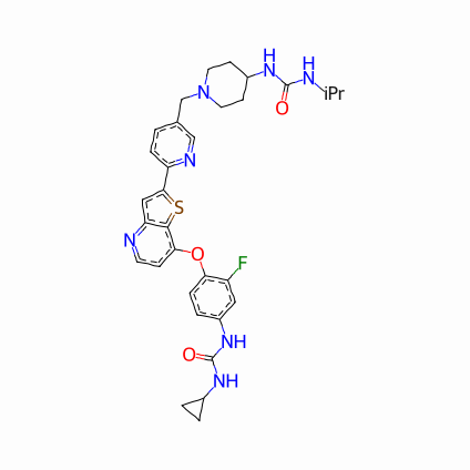 CC(C)NC(=O)NC1CCN(Cc2ccc(-c3cc4nccc(Oc5ccc(NC(=O)NC6CC6)cc5F)c4s3)nc2)CC1